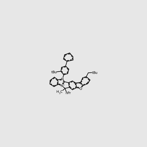 CCCC1(C)c2cc3oc4ccc(CC(C)(C)C)cc4c3cc2-c2n(-c3ccc(-c4ccccc4)cc3C(C)(C)C)c3ccccc3[n+]21